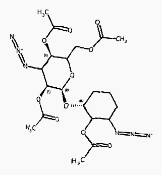 CC(=O)OCC1O[C@@H](O[C@@H]2CCCC(N=[N+]=[N-])C2OC(C)=O)[C@@H](OC(C)=O)C(N=[N+]=[N-])[C@H]1OC(C)=O